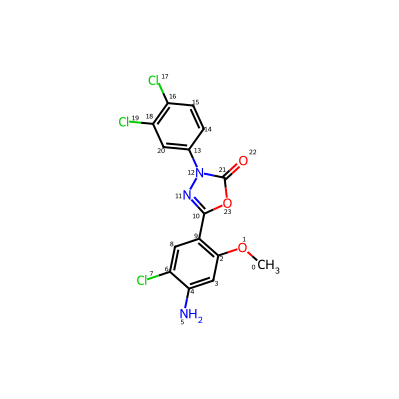 COc1cc(N)c(Cl)cc1-c1nn(-c2ccc(Cl)c(Cl)c2)c(=O)o1